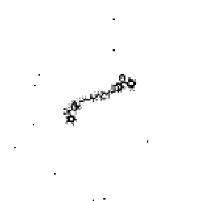 O=C(c1ccccc1)c1cc[n+](CCCCCCCCCCCC[n+]2ccc(C(=O)c3ccccc3)cc2)cc1